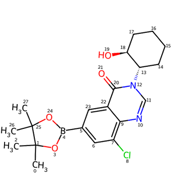 CC1(C)OB(c2cc(Cl)c3ncn([C@H]4CCCC[C@@H]4O)c(=O)c3c2)OC1(C)C